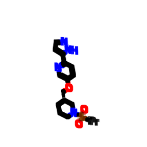 CC(C)S(=O)(=O)N1CCC[C@H](COc2ccc(-c3ccn[nH]3)nc2)C1